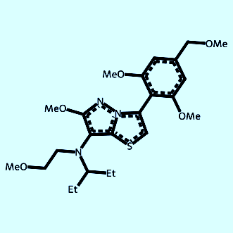 CCC(CC)N(CCOC)c1c(OC)nn2c(-c3c(OC)cc(COC)cc3OC)csc12